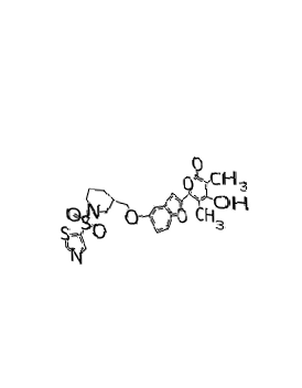 Cc1c(-c2cc3cc(OCC4CCCN(S(=O)(=O)c5cncs5)C4)ccc3o2)oc(=O)c(C)c1O